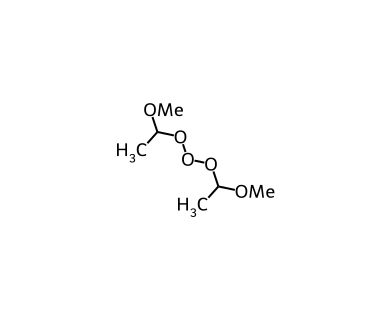 COC(C)OOOC(C)OC